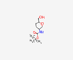 CC(C)(C)OC(=O)N[C@H]1CC[C@@H](CO)OC1